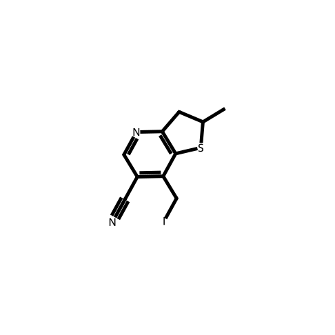 CC1Cc2ncc(C#N)c(CI)c2S1